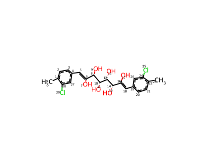 Cc1ccc(C=C(O)[C@@H](O)[C@@H](O)[C@H](O)[C@@H](O)C(O)=Cc2ccc(C)c(Cl)c2)cc1Cl